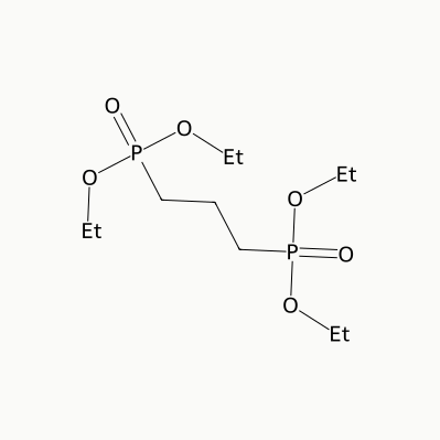 CCOP(=O)(CCCP(=O)(OCC)OCC)OCC